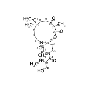 CO[C@]1(C)CCCN(C)C2(CCN(C(=O)C(CO)N(C)C)CC2)COC(=O)C(C)C(=O)CC1